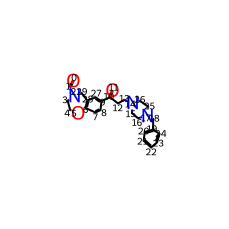 O=CN1CCOc2ccc(C(=O)CCN3CCN(Cc4ccccc4)CC3)cc2C1